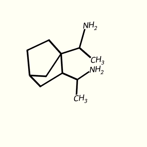 CC(N)C1CC2CCC1(C(C)N)C2